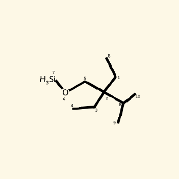 CCC(CC)(CO[SiH3])C(C)C